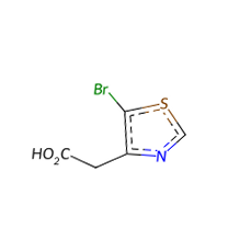 O=C(O)Cc1ncsc1Br